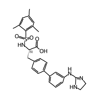 Cc1cc(C)c(S(=O)(=O)N[C@@H](Cc2ccc(-c3cccc(NC4=NCCN4)c3)cc2)C(=O)O)c(C)c1